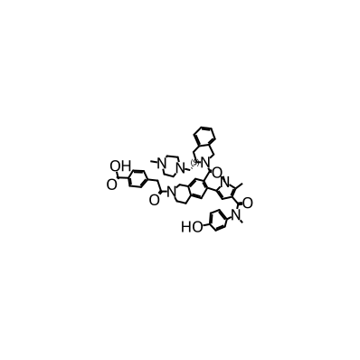 Cc1c(C(=O)N(C)c2ccc(O)cc2)cc(-c2cc3c(cc2C(=O)N2Cc4ccccc4C[C@H]2CN2CCN(C)CC2)CN(C(=O)Cc2ccc(C(=O)O)cc2)CC3)n1C